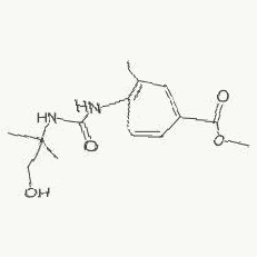 COC(=O)c1ccc(NC(=O)NC(C)(C)CO)c(C)c1